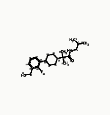 CC(C)CNC(=O)C(C)(C)N1CCC(c2cccc(CO)c2F)CC1